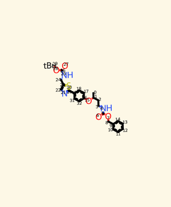 CC(CCNC(=O)OCc1ccccc1)Oc1ccc(-c2ncc(CNC(=O)OC(C)(C)C)s2)cc1